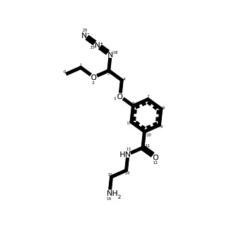 CCOC(COc1cccc(C(=O)NCCN)c1)N=[N+]=[N-]